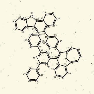 C1=CC=C2CC(=C1)C(c1ccc(-c3cc4c5ccccc5oc4c4ccccc34)cc1)=C(c1nc(-c3ccccc3)nc(-c3ccccc3)n1)c1ccccc12